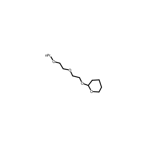 CCCOCCOCCOC1CCCCO1